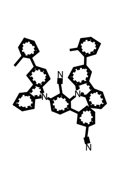 Cc1ccccc1-c1ccc2c(c1)c1ccccc1n2-c1ccc(-c2cccc(C#N)c2)c(-n2c3ccccc3c3cc(-c4ccccc4C)ccc32)c1C#N